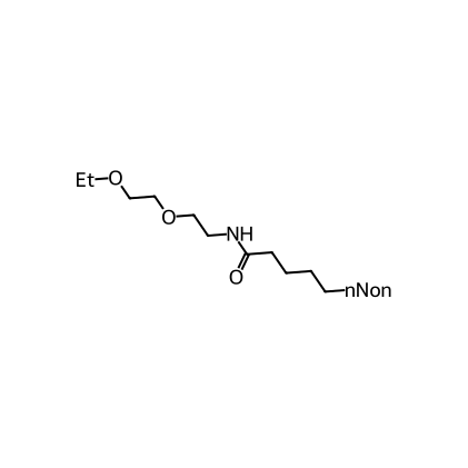 CCCCCCCCCCCCCC(=O)NCCOCCOCC